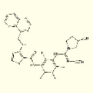 Cc1c(F)c(NC(=O)c2sccc2NCc2ccnc3ccccc23)c(F)c(NC(=NC#N)N2CCC(O)C2)c1F